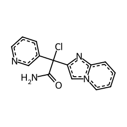 NC(=O)C(Cl)(c1cccnc1)c1cn2ccccc2n1